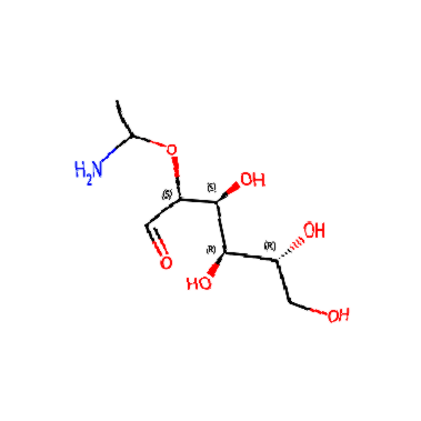 CC(N)O[C@H](C=O)[C@@H](O)[C@H](O)[C@H](O)CO